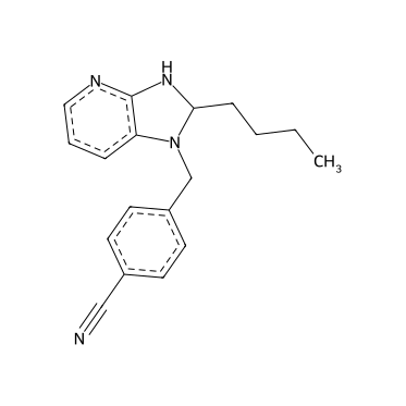 CCCCC1Nc2ncccc2N1Cc1ccc(C#N)cc1